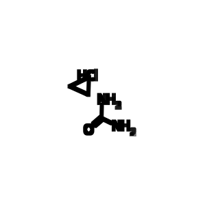 C1CC1.Cl.NC(N)=O